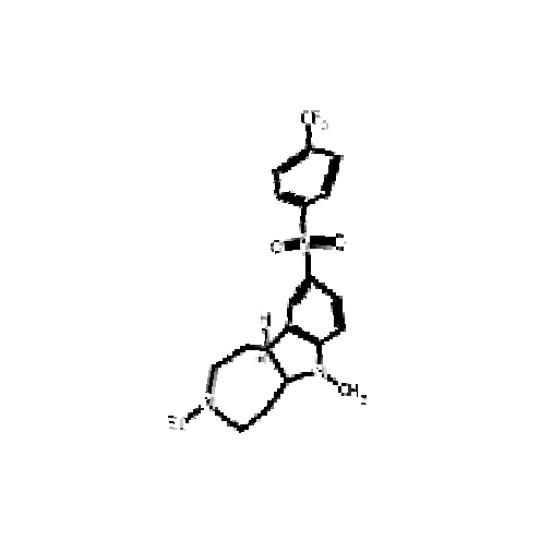 CCN1CCC2[C@H](CC1)c1cc(S(=O)(=O)c3ccc(C(F)(F)F)cc3)ccc1N2C